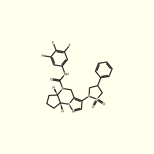 O=C(Nc1cc(F)c(F)c(F)c1)N1Cc2c(N3CC(c4ccccc4)CS3(=O)=O)cnn2[C@@H]2CCC[C@@H]21